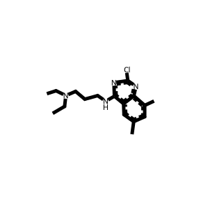 CCN(CC)CCCNc1nc(Cl)nc2c(C)cc(C)cc12